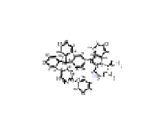 C=Cc1c(/C=C\C)n(-c2ccc(C3(c4ccccc4)c4ccccc4-c4cnc(-c5ccccc5)nc43)cc2)c2ccccc12